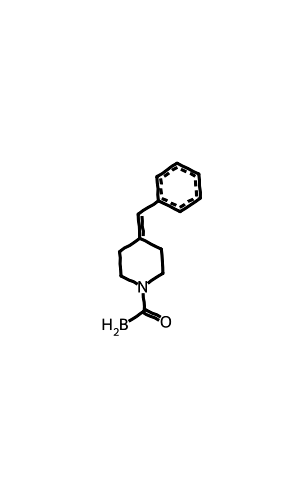 BC(=O)N1CCC(=Cc2ccccc2)CC1